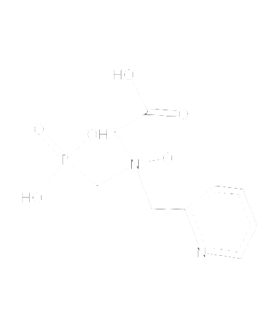 O=C(O)C[N+]([O-])(Cc1ccccn1)CP(=O)(O)O